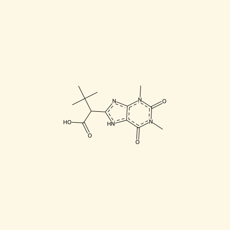 Cn1c(=O)c2[nH]c(C(C(=O)O)C(C)(C)C)nc2n(C)c1=O